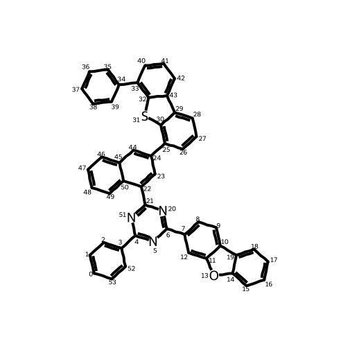 c1ccc(-c2nc(-c3ccc4c(c3)oc3ccccc34)nc(-c3cc(-c4cccc5c4sc4c(-c6ccccc6)cccc45)cc4ccccc34)n2)cc1